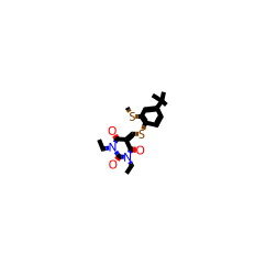 CCN1C(=O)C(=CSc2ccc(C(C)(C)C)cc2SC)C(=O)N(CC)C1=O